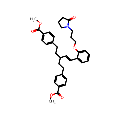 COC(=O)c1ccc(CCC(C=Cc2ccccc2OCCCN2CCCC2=O)CCc2ccc(C(=O)OC)cc2)cc1